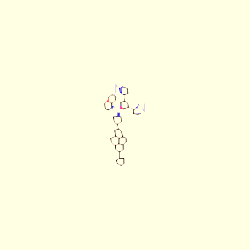 c1ccc(-c2cc3ccc4cc(-c5ccc(N(c6cc(-c7cccnc7)cc(-c7cccnc7)c6)c6cccc7ccccc67)cc5)cc5ccc(c2)c3c45)cc1